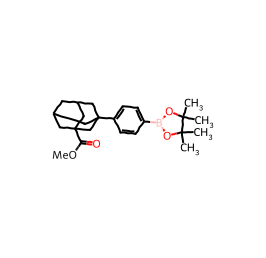 COC(=O)C12CC3CC(C1)CC(c1ccc(B4OC(C)(C)C(C)(C)O4)cc1)(C3)C2